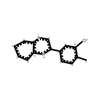 Cc1ccc(-c2cnc3ccccc3n2)cc1Cl